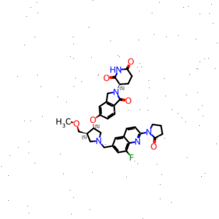 COC[C@@H]1CN(Cc2cc(F)c3nc(N4CCCC4=O)ccc3c2)C[C@H]1Oc1ccc2c(c1)CN([C@H]1CCC(=O)NC1=O)C2=O